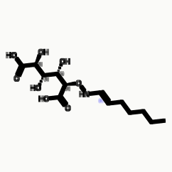 CCCCC/C=C/NO[C@@H](C(=O)O)[C@@H](O)[C@H](O)[C@H](O)C(=O)O